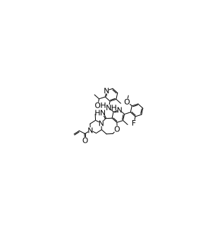 C=CC(=O)N1CC(C)N2C(=N)c3c(Nc4c(C)ccnc4C(C)O)nc(-c4c(F)cccc4OC)c(C)c3OCCC2C1